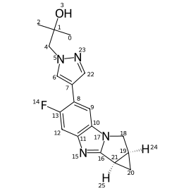 CC(C)(O)Cn1cc(-c2cc3c(cc2F)nc2n3C[C@H]3C[C@@H]23)cn1